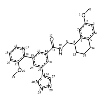 COc1ccc2c(c1)C(CNC(=O)c1cc(-c3ncccc3OC)cc(-n3cnnn3)c1)CCC2